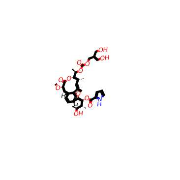 CO[C@H]1C[C@H]2C=C[C@@H]3C[C@]2(O[C@H]3[C@H](OC(=O)c2ccc[nH]2)[C@H](C)[C@H](C)O)/C(C)=C/[C@@H](C)[C@@H]([C@@H](C)OC(=O)OCC(CO)CO)OC1=O